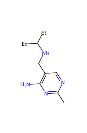 CCC(CC)NCc1cnc(C)nc1N